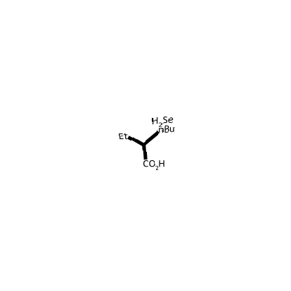 CCCCC(CC)C(=O)O.[SeH2]